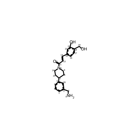 NCc1cccc(C2CCN(C(=O)/C=C/c3ccc(CO)c(O)c3)CC2)c1